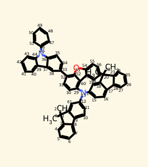 CC1(C)c2ccccc2-c2ccc(N(c3ccc4c(c3)C(C)(C)c3ccccc3-4)c3ccc(-c4ccc5c(c4)c4ccccc4n5-c4ccccc4)c4oc5ccccc5c34)cc21